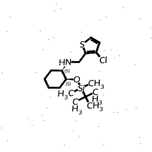 CC(C)(C)[Si](C)(C)O[C@H]1CCCC[C@@H]1NCc1sccc1Cl